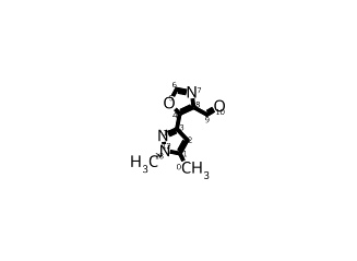 Cc1cc(-c2ocnc2C=O)nn1C